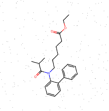 CCOC(=O)CCCCCN(C(=O)C(C)C)c1ccccc1-c1ccccc1